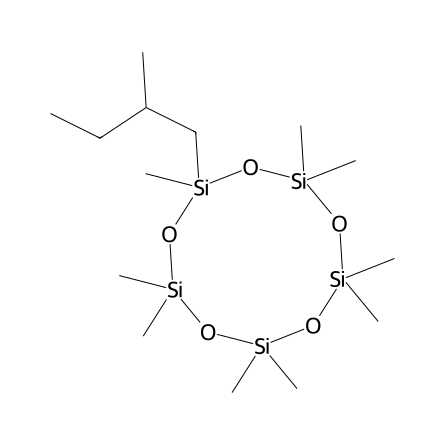 CCC(C)C[Si]1(C)O[Si](C)(C)O[Si](C)(C)O[Si](C)(C)O[Si](C)(C)O1